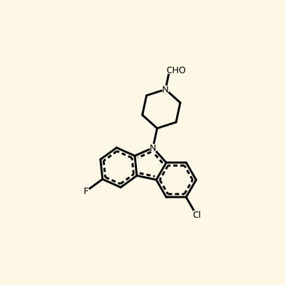 O=CN1CCC(n2c3ccc(F)cc3c3cc(Cl)ccc32)CC1